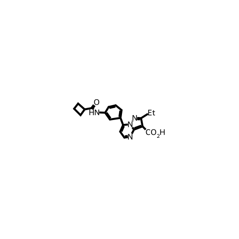 CCc1nn2c(-c3cccc(NC(=O)C4CCC4)c3)ccnc2c1C(=O)O